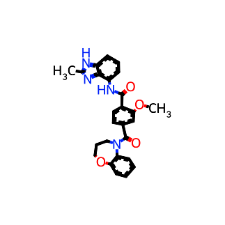 COc1cc(C(=O)N2CCCOc3ccccc32)ccc1C(=O)Nc1cccc2[nH]c(C)nc12